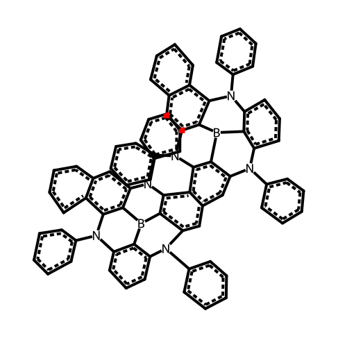 c1ccc(N2c3cccc4c3B3c5c(cc6ccccc6c5N4c4ccccc4)N(c4ccccc4)c4c3c2cc2cc3c5c(c42)N(c2ccccc2)c2cc4ccccc4c4c2B5c2c(cccc2N4c2ccccc2)N3c2ccccc2)cc1